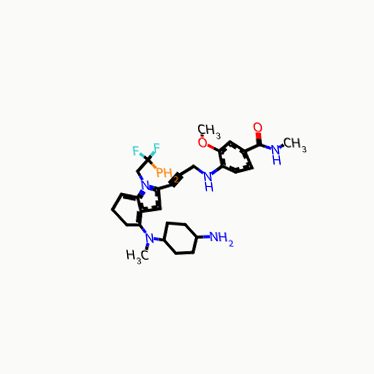 CNC(=O)c1ccc(NCC#Cc2cc3c(n2CC(F)(F)P)=CCCC=3N(C)C2CCC(N)CC2)c(OC)c1